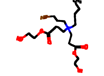 CCCC[N+](CCCS)(CCC(=O)OCCO)CCC(=O)OCCO